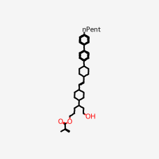 C=C(C)C(=O)OCCCC(CCO)C1CCC(/C=C/C2CCC(c3ccc(-c4ccc(CCCCC)cc4)cc3)CC2)CC1